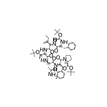 CC[C@H](C)[C@H](NC(=O)[C@@H](Cc1ccccc1)NC(=O)OC(C)(C)C)C(=O)N[C@H](C(=O)N[C@@H](CC(N)=O)C(=O)N[C@H](Cc1ccccc1)C(=O)N1CCC[C@H]1C(=O)OC(C)(C)C)[C@@H](C)OC(C)(C)C